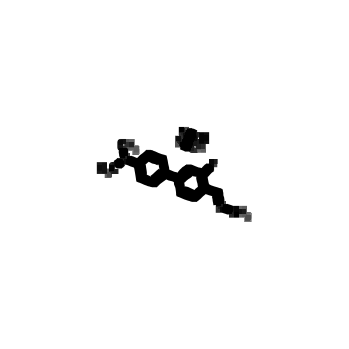 C#N.C#N.CN(C)c1ccc(-c2ccc(C=NN)c(F)c2)cc1